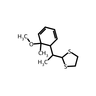 COC1(C)C=CC=CC1C(C)C1SCCS1